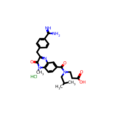 CC(C)CN(CCC(=O)O)C(=O)c1ccc2c(c1)nc(Cc1ccc(C(=N)N)cc1)c(=O)n2C.Cl